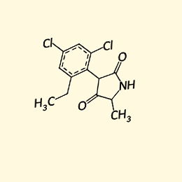 CCc1cc(Cl)cc(Cl)c1C1C(=O)NC(C)C1=O